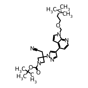 CC(C)(C)OC(=O)N1CC(CC#N)(n2cc(-c3ccnc4c3ccn4COCC[Si](C)(C)C)cn2)C1